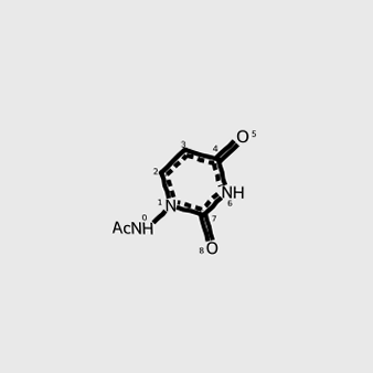 CC(=O)Nn1ccc(=O)[nH]c1=O